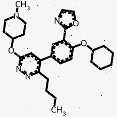 CCCCc1nnc(OC2CCN(C)CC2)cc1-c1ccc(OC2CCCCC2)c(-c2ncco2)c1